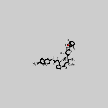 CC[C@H](C)C([C@@H](CC(=O)N1CCC[C@H]1[C@H](OC)[C@@H](C)C(=O)N[C@H](CO)Cc1ccc(N)cc1)OC)N(C)C(=O)[C@@H](NC(=O)[C@H]1N[C@H]2CC[C@H]1[C@@H]2C)C(C)C